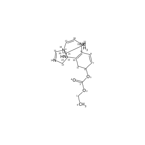 CCOC(=O)OC1C=CC2=C(C1)C13CN=C[N+]1(C=CN2)C=C(C)N3